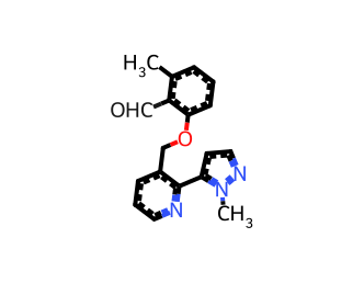 Cc1cccc(OCc2cccnc2-c2ccnn2C)c1C=O